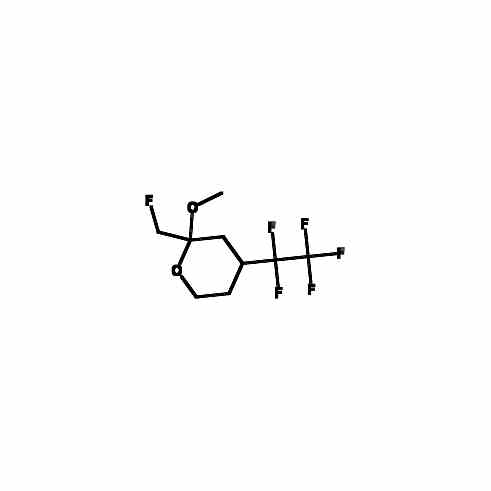 COC1(CF)CC(C(F)(F)C(F)(F)F)CCO1